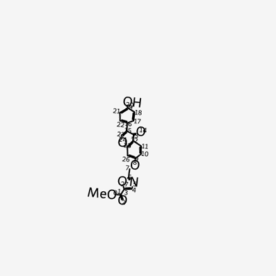 COC(=O)c1cnc(COc2ccc3c(=O)c(-c4ccc(O)cc4)coc3c2)o1